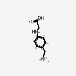 NCc1ccc(NCC(=O)O)cc1